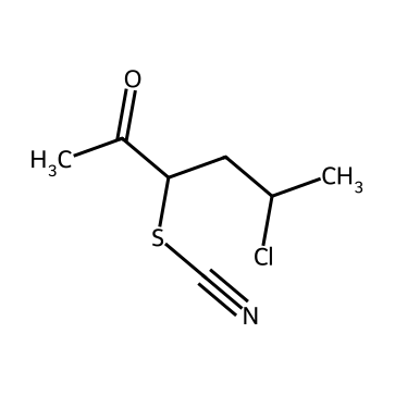 CC(=O)C(CC(C)Cl)SC#N